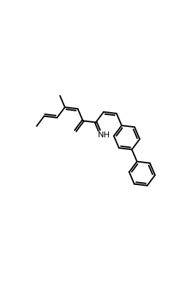 C=C(/C=C(C)\C=C\C)C(=N)/C=C\c1ccc(-c2ccccc2)cc1